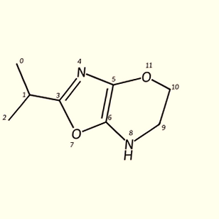 CC(C)c1nc2c(o1)NCCO2